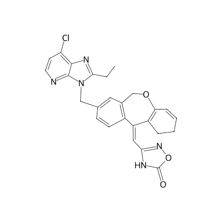 CCc1nc2c(Cl)ccnc2n1Cc1ccc2c(c1)COC1=C(CCC=C1)/C2=C\c1noc(=O)[nH]1